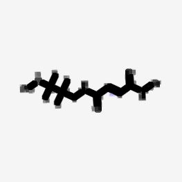 CC(C)NC(=O)/C=C/C(=O)NCC(C)(C)C(C)(C)OC(C)C